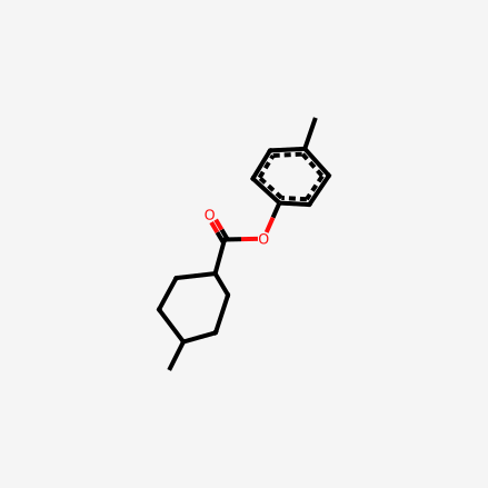 Cc1ccc(OC(=O)C2CCC(C)CC2)cc1